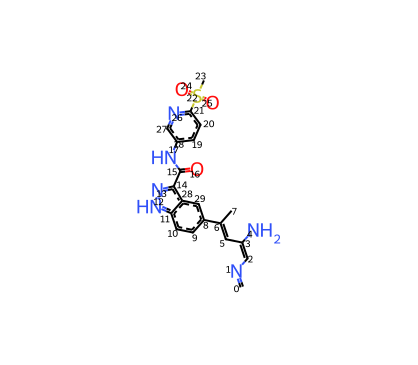 C=N/C=C(N)\C=C(/C)c1ccc2[nH]nc(C(=O)Nc3ccc(S(C)(=O)=O)nc3)c2c1